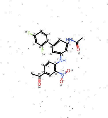 CC(=O)Nc1cc(Nc2ccc(C(C)=O)cc2[N+](=O)[O-])cc(-c2ccc(F)cc2F)c1